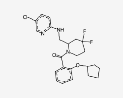 O=C(c1ccccc1OC1CCCC1)N1CCC(F)(F)CC1CNc1ccc(Cl)cn1